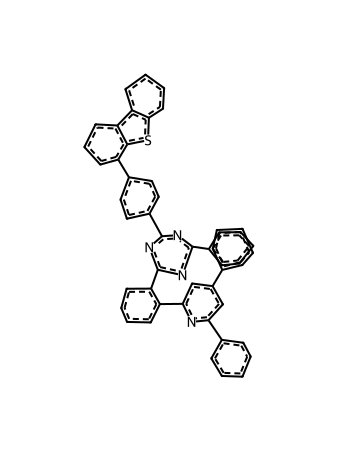 c1ccc(-c2cc(-c3ccccc3)nc(-c3ccccc3-c3nc(-c4ccccc4)nc(-c4ccc(-c5cccc6c5sc5ccccc56)cc4)n3)c2)cc1